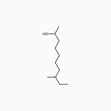 CCN(C)CCCCCC(C)O